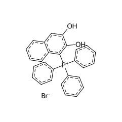 Oc1cc2ccccc2c([P+](c2ccccc2)(c2ccccc2)c2ccccc2)c1O.[Br-]